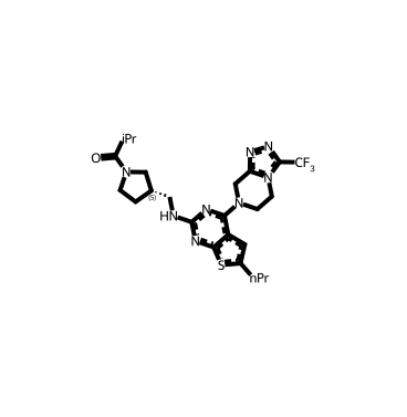 CCCc1cc2c(N3CCn4c(nnc4C(F)(F)F)C3)nc(NC[C@@H]3CCN(C(=O)C(C)C)C3)nc2s1